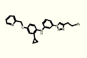 CC(C)CCc1cn(-c2cccc(Nc3ccc(OCc4ccccn4)cc3C3CC3)c2)nn1